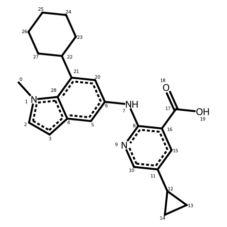 Cn1ccc2cc(Nc3ncc(C4CC4)cc3C(=O)O)cc(C3CCCCC3)c21